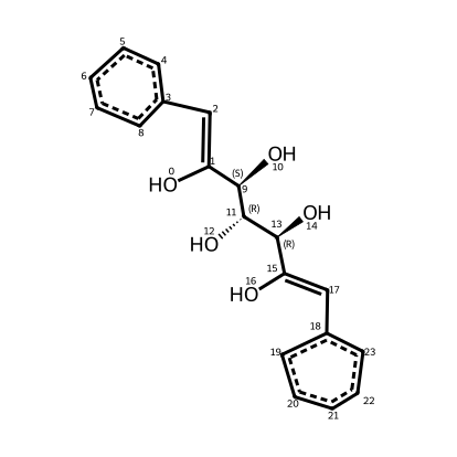 OC(=Cc1ccccc1)[C@@H](O)[C@@H](O)[C@@H](O)C(O)=Cc1ccccc1